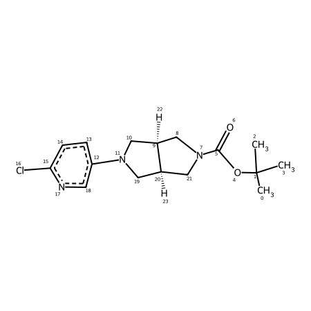 CC(C)(C)OC(=O)N1C[C@@H]2CN(c3ccc(Cl)nc3)C[C@@H]2C1